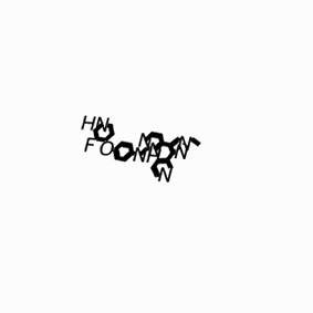 CCn1cc(-c2ccnc(Nc3ccc(OC4CCNCC4F)cc3)n2)c(-c2cccnc2)n1